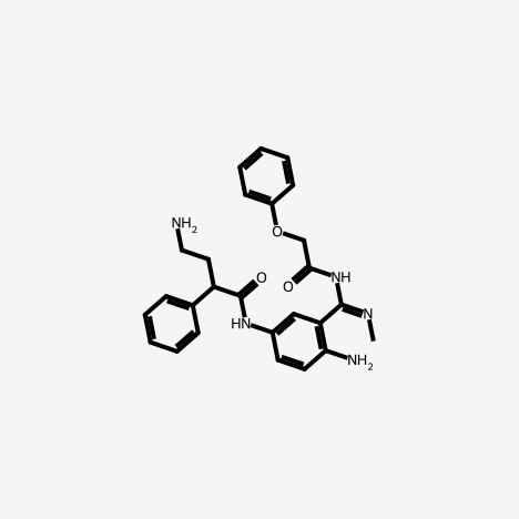 C/N=C(/NC(=O)COc1ccccc1)c1cc(NC(=O)C(CCN)c2ccccc2)ccc1N